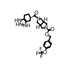 O=C(OCc1ccc(OC(F)(F)F)cc1)N1C[C@@H]2CN(C(=O)[C@@H]3CCC4=C(C3)NNN4)C[C@H]2C1